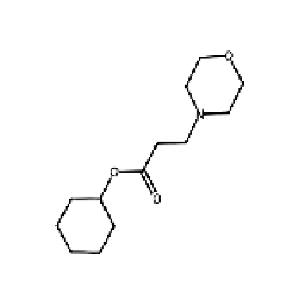 O=C(CCN1CCOCC1)OC1CCCCC1